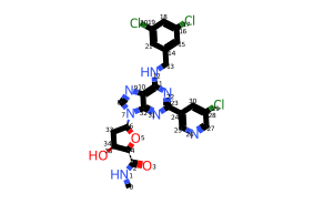 CNC(=O)[C@H]1O[C@@H](n2cnc3c(NCc4cc(Cl)cc(Cl)c4)nc(-c4cncc(Cl)c4)nc32)C[C@@H]1O